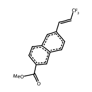 COC(=O)c1ccc2cc(/C=C/C(F)(F)F)ccc2c1